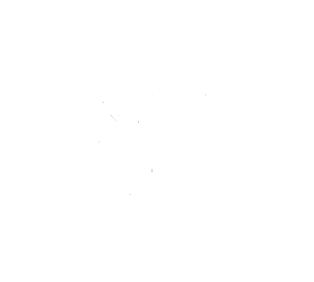 CC/C=C\CCCC(O)OC(=O)C(C)OCC(C)O